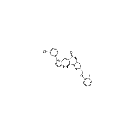 Cc1ccccc1OCC1=NN2C(=N)/C(=C\c3cccn3-c3cccc(Cl)c3)C(=O)N=C2C1